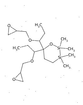 CCC(OCC1CO1)C1(C(CC)OCC2CO2)CC[Si](C)(C)[Si](C)(C)O1